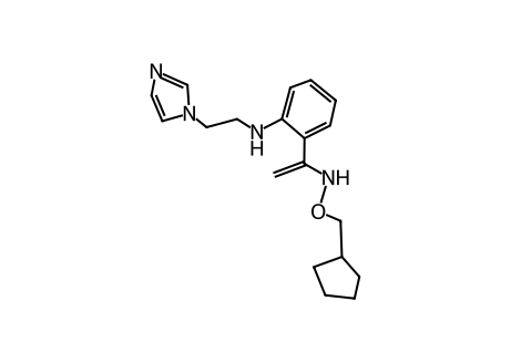 C=C(NOCC1CCCC1)c1ccccc1NCCn1ccnc1